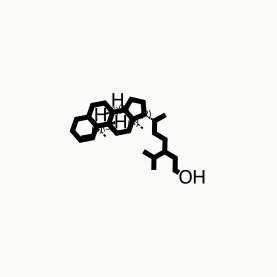 CC(C)C(CCO)CCC(C)[C@H]1CC[C@H]2[C@@H]3CCC4CCC=C[C@]4(C)[C@H]3CC[C@]12C